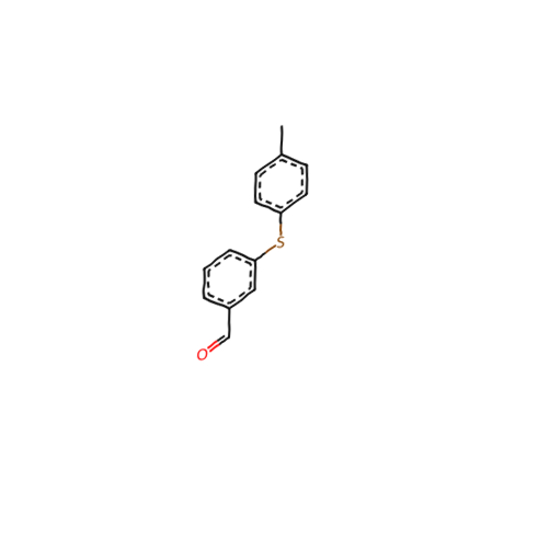 Cc1ccc(Sc2cccc(C=O)c2)cc1